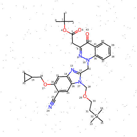 CC(C)(C)OC(=O)Cc1nn(Cc2nc3cc(OCC4CC4)c(C#N)cc3n2COCC[Si](C)(C)C)c2ccccc2c1=O